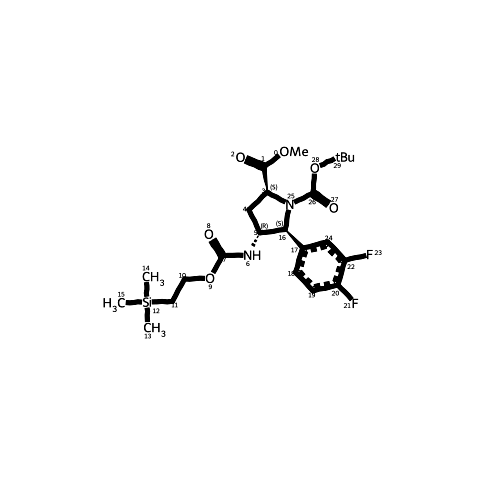 COC(=O)[C@@H]1C[C@@H](NC(=O)OCC[Si](C)(C)C)[C@H](c2ccc(F)c(F)c2)N1C(=O)OC(C)(C)C